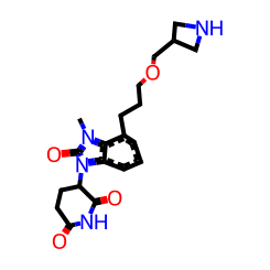 Cn1c(=O)n(C2CCC(=O)NC2=O)c2cccc(CCCOCC3CNC3)c21